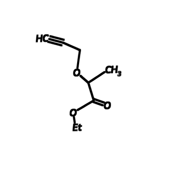 C#CCOC(C)C(=O)OCC